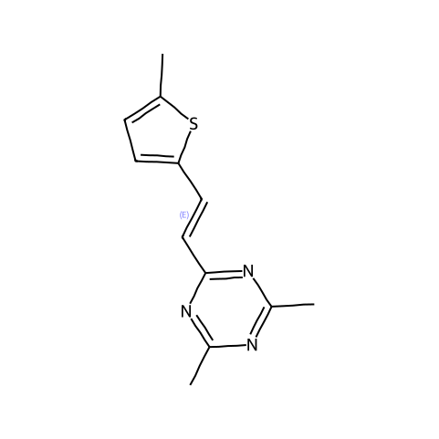 Cc1nc(C)nc(/C=C/c2ccc(C)s2)n1